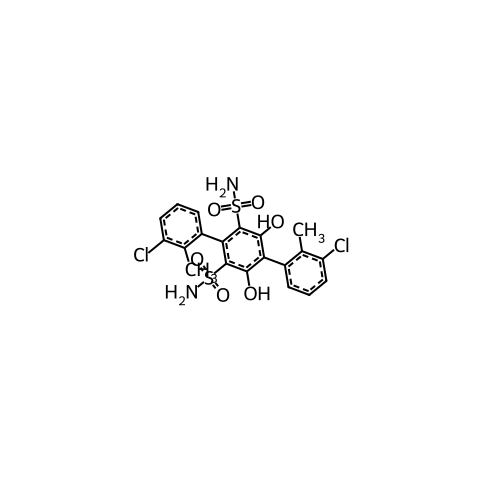 Cc1c(Cl)cccc1-c1c(O)c(S(N)(=O)=O)c(-c2cccc(Cl)c2C)c(S(N)(=O)=O)c1O